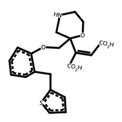 O=C(O)/C=C(/C(=O)O)C1(COc2ccccc2Cc2cccs2)CNCCO1